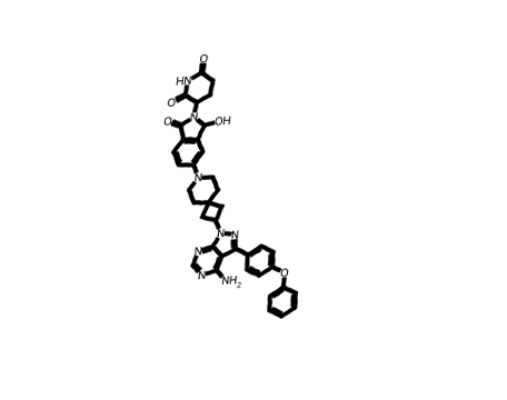 Nc1ncnc2c1c(-c1ccc(Oc3ccccc3)cc1)nn2C1CC2(CCN(c3ccc4c(c3)C(O)N(C3CCC(=O)NC3=O)C4=O)CC2)C1